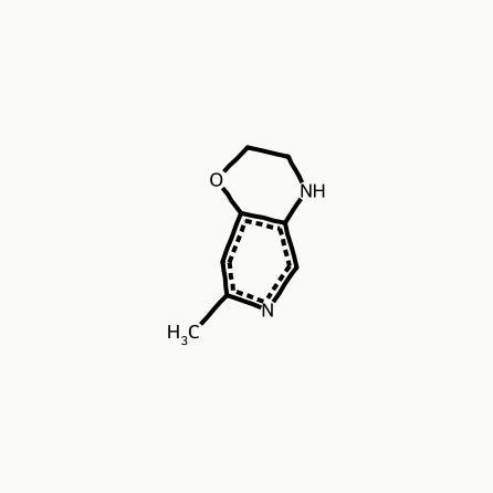 Cc1cc2c(cn1)NCCO2